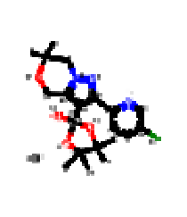 CC1(C)Cn2nc(-c3ccc(F)cn3)c([B-]3(O)OC(C)(C)C(C)(C)O3)c2CO1.[Li+]